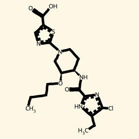 CCCCO[C@H]1CN(c2ncc(C(=O)O)s2)CC[C@H]1NC(=O)c1nc(Cl)c(CC)[nH]1